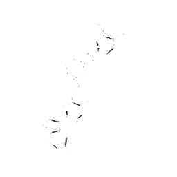 COc1ccc(S(=O)(=O)N2CCC[C@H](CNc3nc(-c4c[nH]c5ncc(Cl)cc45)ncc3F)C2)cc1OC